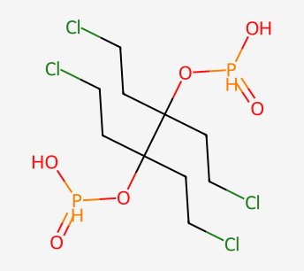 O=[PH](O)OC(CCCl)(CCCl)C(CCCl)(CCCl)O[PH](=O)O